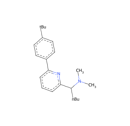 CCCCC(c1cccc(-c2ccc(C(C)(C)C)cc2)n1)N(C)C